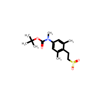 Cc1cc(N(C)C(=O)OC(C)(C)C)cc(C)c1CC[SH](=O)=O